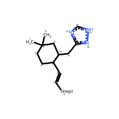 CCCCCCCC=CC1CCC(C)(C)CC1Cc1nc[nH]n1